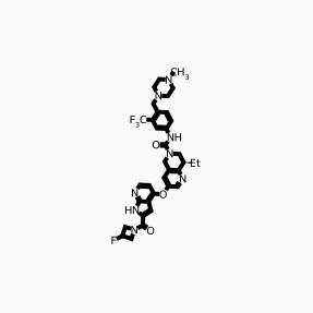 CC[C@H]1CN(C(=O)Nc2ccc(CN3CCN(C)CC3)c(C(F)(F)F)c2)Cc2cc(Oc3ccnc4[nH]c(C(=O)N5CC(F)C5)cc34)cnc21